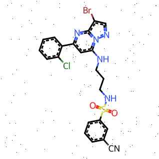 N#Cc1cccc(S(=O)(=O)NCCCNc2cc(-c3ccccc3Cl)nc3c(Br)cnn23)c1